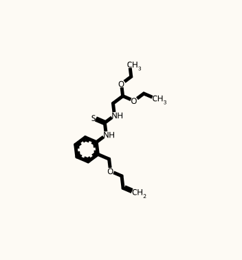 C=CCOCc1ccccc1NC(=S)NCC(OCC)OCC